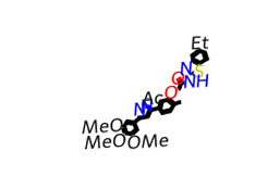 CCc1ccc2sc(NC(=O)COc3cc(-c4cc(-c5cc(OC)c(OC)c(OC)c5)nn4C(C)=O)ccc3C)nc2c1